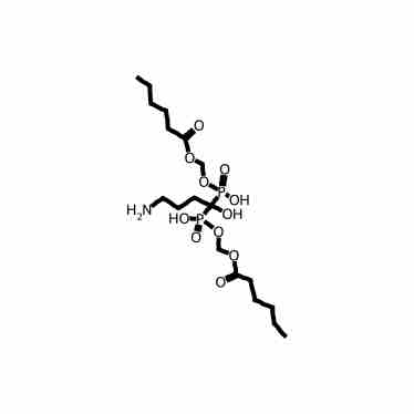 CCCCCC(=O)OCOP(=O)(O)C(O)(CCCN)P(=O)(O)OCOC(=O)CCCCC